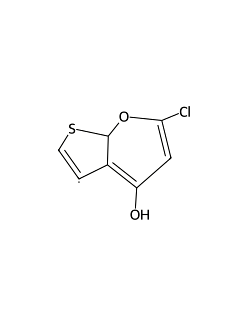 OC1=C2[C]=CSC2OC(Cl)=C1